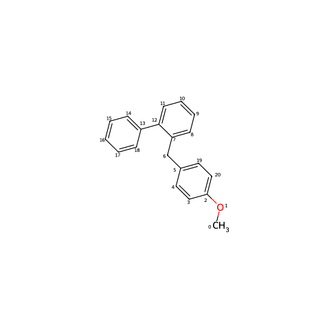 COc1ccc(Cc2ccccc2-c2ccccc2)cc1